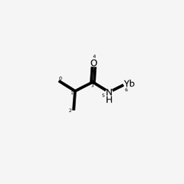 CC(C)C(=O)[NH][Yb]